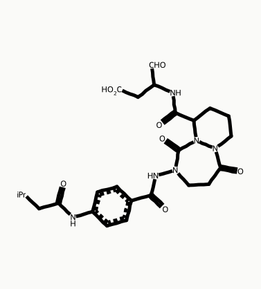 CC(C)CC(=O)Nc1ccc(C(=O)NN2CCC(=O)N3CCCC(C(=O)NC(C=O)CC(=O)O)N3C2=O)cc1